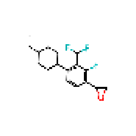 CCC1CCC(c2ccc(C3CO3)c(F)c2C(F)F)CC1